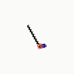 CCCCCCCCCCCCCCCC=COP(=O)(O)ON1C=NCC1